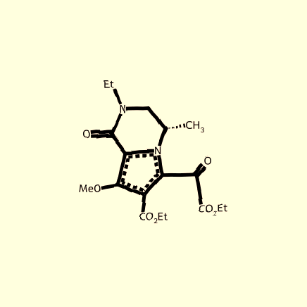 CCOC(=O)C(=O)c1c(C(=O)OCC)c(OC)c2n1[C@@H](C)CN(CC)C2=O